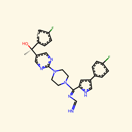 C[C@](O)(c1ccc(F)cc1)c1cnc(N2CCN(/C(=N/C=N)c3cc(-c4ccc(F)cc4)c[nH]3)CC2)nc1